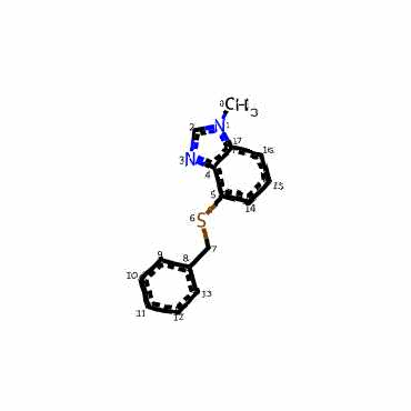 Cn1cnc2c(SCc3ccccc3)cccc21